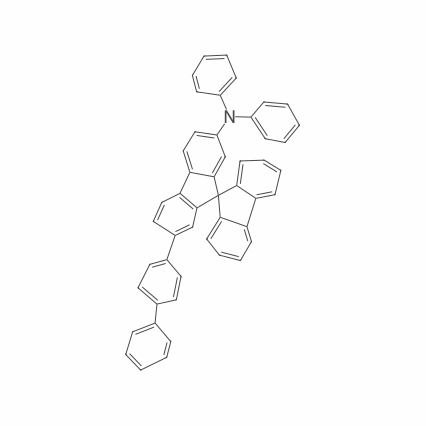 c1ccc(-c2ccc(-c3ccc4c(c3)C3(c5ccccc5-c5ccccc53)c3cc(N(c5ccccc5)c5ccccc5)ccc3-4)cc2)cc1